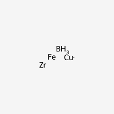 B.[Cu].[Fe].[Zr]